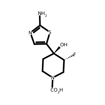 Nc1ncc([C@@]2(O)CCN(C(=O)O)C[C@H]2F)s1